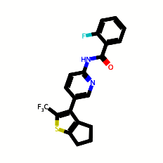 O=C(Nc1ccc(-c2c(C(F)(F)F)sc3c2CCC3)cn1)c1ccccc1F